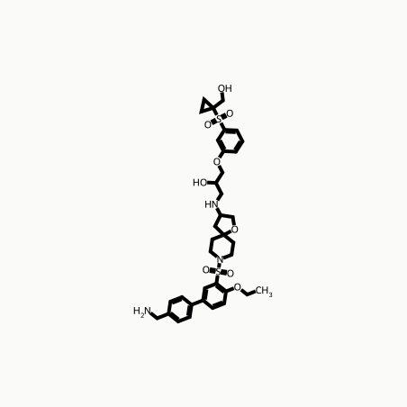 CCOc1ccc(-c2ccc(CN)cc2)cc1S(=O)(=O)N1CCC2(CC1)CC(NCC(O)COc1cccc(S(=O)(=O)C3(CO)CC3)c1)CO2